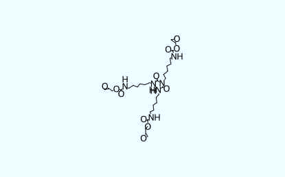 O=C(NCCCCCCNC(=O)N(CCCCCCNC(=O)OC1CO1)C(=O)NCCCCCCNC(=O)OCC1CO1)OCC1CO1